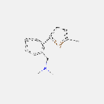 CCc1ccc(-c2ccccc2CN(C)C)s1